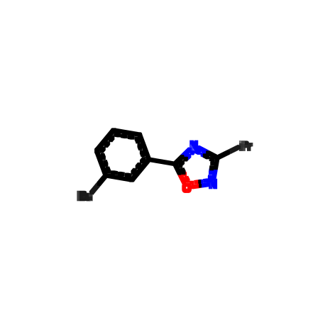 CCC(C)c1cccc(-c2nc(C(C)C)no2)c1